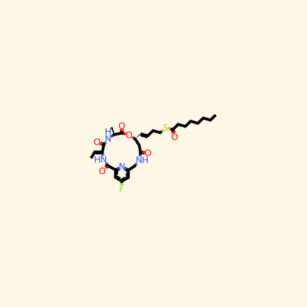 C/C=C1\NC(=O)c2cc(F)cc(n2)CNC(=O)C[C@@H](/C=C/CCSC(=O)CCCCCCC)OC(=O)[C@H](C)NC1=O